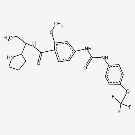 CCC(NC(=O)c1ccc(NC(=O)Nc2ccc(OC(F)(F)F)cc2)cc1OC)C1CCCN1